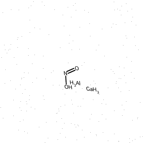 O=NO.[AlH3].[GaH3]